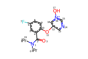 CC(C)N(C(=O)c1cc(F)ccc1Oc1cnc[n+](O)c1)C(C)C